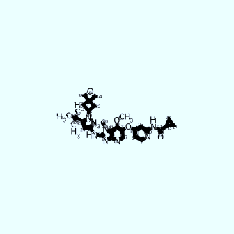 COc1c(Oc2ccnc(NC(=O)C3CC3)c2)cnc2nc(Nc3cc(C(C)(C)C)n(C4CC5(COC5)C4)n3)n(C)c12